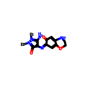 CCn1c(N)c(/N=C2/C=C3OCCNC3=CC2=O)c(=O)n1CC